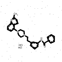 Cc1ccc2c(N3CCN(CCc4cccc(NC(=O)c5ccccc5)c4)CC3)cccc2n1.Cl.Cl